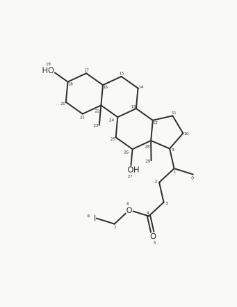 CC(CCC(=O)OCI)C1CCC2C3CCC4CC(O)CCC4(C)C3CC(O)C12C